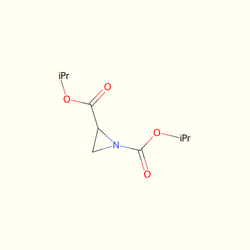 CC(C)OC(=O)C1CN1C(=O)OC(C)C